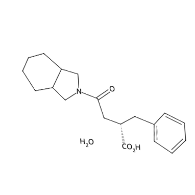 O.O=C(O)[C@H](CC(=O)N1CC2CCCCC2C1)Cc1ccccc1